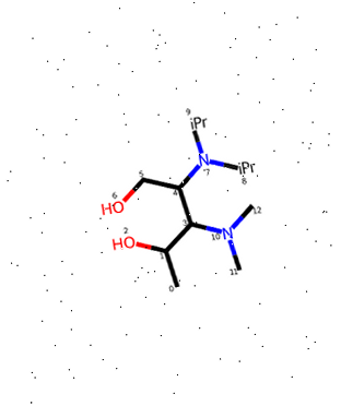 CC(O)C(C(CO)N(C(C)C)C(C)C)N(C)C